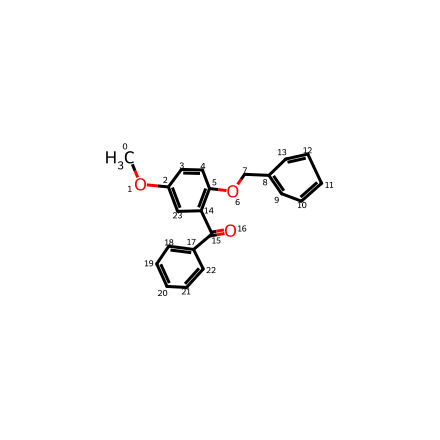 COc1ccc(OCc2ccccc2)c(C(=O)c2ccccc2)c1